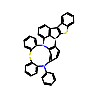 c1ccc(N2c3ccc4c(c3)N(c3ccccc3Sc3ccccc32)c2cccc3c2B4c2sc4ccccc4c2-3)cc1